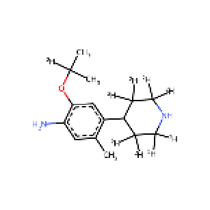 [2H]C(C)(C)Oc1cc(C2C([2H])([2H])C([2H])([2H])NC([2H])([2H])C2([2H])[2H])c(C)cc1N